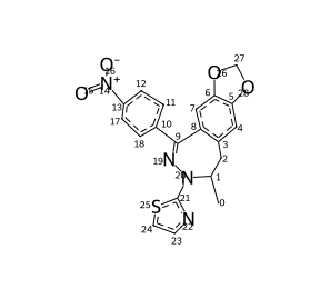 CC1Cc2cc3c(cc2C(c2ccc([N+](=O)[O-])cc2)=NN1c1nccs1)OCO3